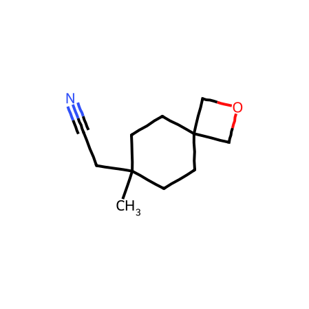 CC1(CC#N)CCC2(CC1)COC2